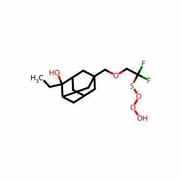 CCC1(O)C2CC3CC1CC(COCC(F)(F)SOOO)(C3)C2